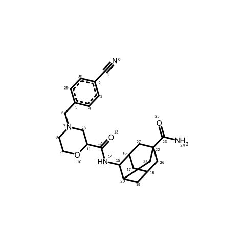 N#Cc1ccc(CN2CCOC(C(=O)NC3C4CC5CC3CC(C(N)=O)(C5)C4)C2)cc1